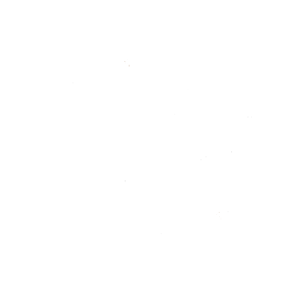 c1csc(C2=C3C(=C(c4cccs4)c4ccccc43)c3ccccc32)c1